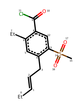 CCC=CCc1cc(CC)c(C(=O)Cl)cc1S(C)(=O)=O